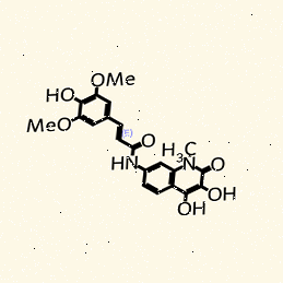 COc1cc(/C=C/C(=O)Nc2ccc3c(O)c(O)c(=O)n(C)c3c2)cc(OC)c1O